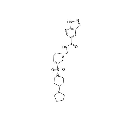 O=C(NCc1cccc(S(=O)(=O)N2CCC(N3CCCC3)CC2)c1)c1cnc2[nH]ncc2c1